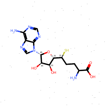 Nc1ncnc2c1ncn2[C@@H]1O[C@H]([C@@H](S)CCC(N)C(=O)O)[C@@H](O)[C@H]1O